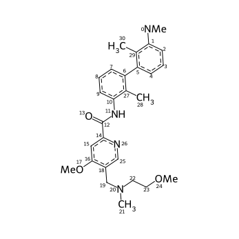 CNc1cccc(-c2cccc(NC(=O)c3cc(OC)c(CN(C)CCOC)cn3)c2C)c1C